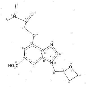 CN(C)C(=O)COc1cc(C(=O)O)cc2c1ncn2CC1CCO1